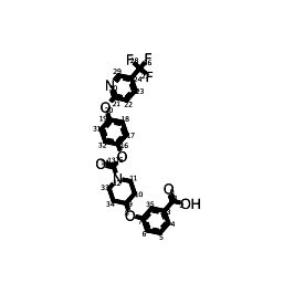 O=C(O)c1cccc(OC2CCN(C(=O)Oc3ccc(Oc4ccc(C(F)(F)F)cn4)cc3)CC2)c1